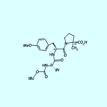 COc1ccc(C[C@H](NC(=O)[C@@H](NC(=O)OC(C)(C)C)C(C)C)C(=O)N2CCC[C@@]2(C)C(=O)O)cc1